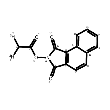 [3H]C([3H])C(=O)ON1C(=O)c2ccc3ccccc3c2C1=O